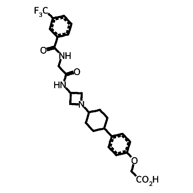 O=C(O)COc1ccc(C2CCC(N3CC(NC(=O)CNC(=O)c4cccc(C(F)(F)F)c4)C3)CC2)cc1